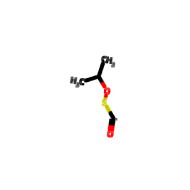 CC(C)OS[C]=O